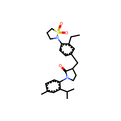 CCc1cc(CC2CCN(c3ccc(C)cc3C(C)C)C2=O)ccc1N1CCCS1(=O)=O